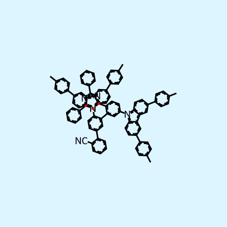 Cc1ccc(-c2ccc3c(c2)c2cc(-c4ccc(C)cc4)ccc2n3-c2ccc(-c3nc(-c4ccccc4)nc(-c4ccccc4)n3)c(-c3cc(-c4ccccc4C#N)ccc3-n3c4ccc(-c5ccc(C)cc5)cc4c4cc(-c5ccc(C)cc5)ccc43)c2)cc1